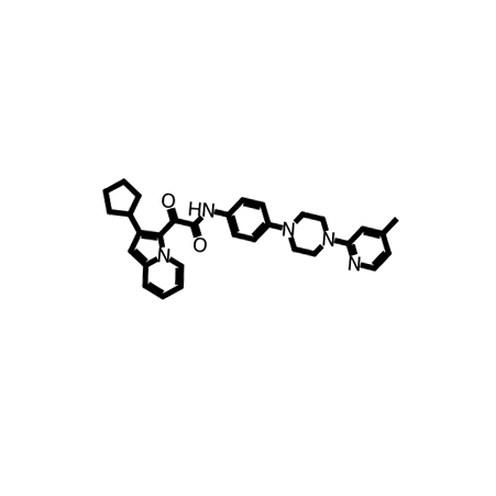 Cc1ccnc(N2CCN(c3ccc(NC(=O)C(=O)c4c(C5CCCC5)cc5ccccn45)cc3)CC2)c1